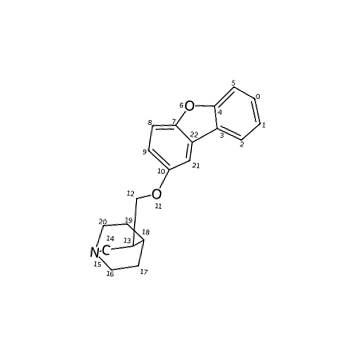 c1ccc2c(c1)oc1ccc(OCC3CN4CCC3CC4)cc12